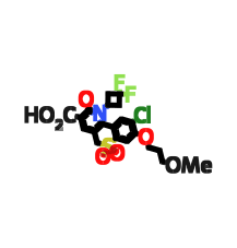 COCCCOc1cc2c(cc1Cl)-c1c(cc(C(=O)O)c(=O)n1C1CC(F)(F)C1)CS2(=O)=O